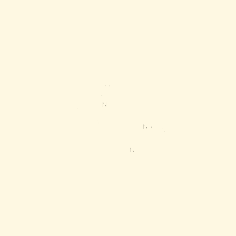 O=C1c2ccccc2C(=O)N1C1C=C(c2ccncc2N=C=S)CCC1